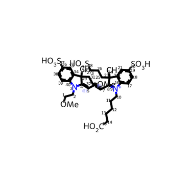 COCCN1/C(=C/C=C/C2=[N+](CCCCCC(=O)O)c3ccc(S(=O)(=O)O)cc3C2(C)CCCS(=O)(=O)O)C(C)(CCOC)c2cc(S(=O)(=O)O)ccc21